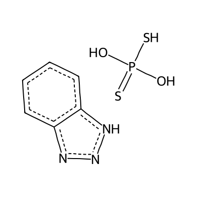 OP(O)(=S)S.c1ccc2[nH]nnc2c1